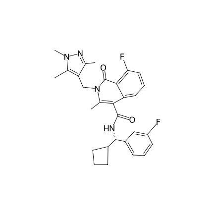 Cc1nn(C)c(C)c1Cn1c(C)c(C(=O)N[C@H](c2cccc(F)c2)C2CCC2)c2cccc(F)c2c1=O